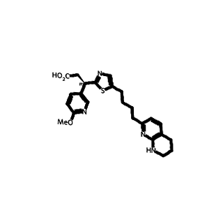 COc1ccc([C@@H](CC(=O)O)c2ncc(CCCCc3ccc4c(n3)NCCC4)s2)cn1